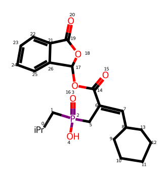 CC(C)CP(=O)(O)C/C(=C\C1CCCCC1)C(=O)OC1OC(=O)c2ccccc21